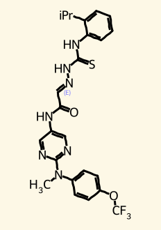 CC(C)c1ccccc1NC(=S)N/N=C/C(=O)Nc1cnc(N(C)c2ccc(OC(F)(F)F)cc2)nc1